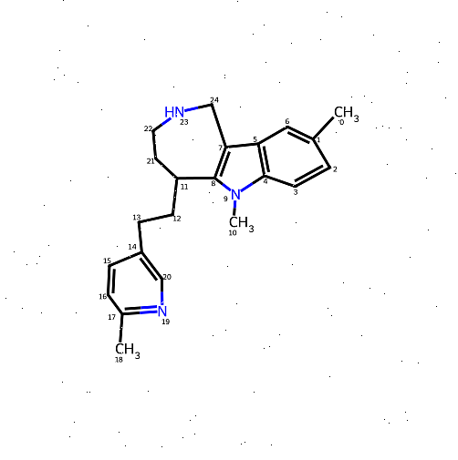 Cc1ccc2c(c1)c1c(n2C)C(CCc2ccc(C)nc2)CCNC1